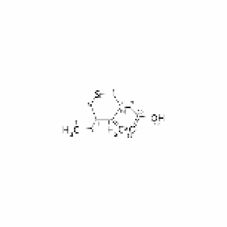 C=C1C(CC)CSC[C@H]1CC(=O)O